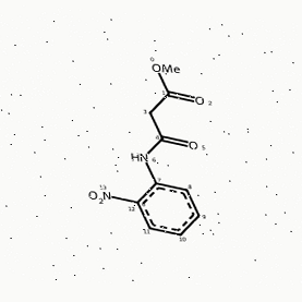 COC(=O)CC(=O)Nc1ccccc1[N+](=O)[O-]